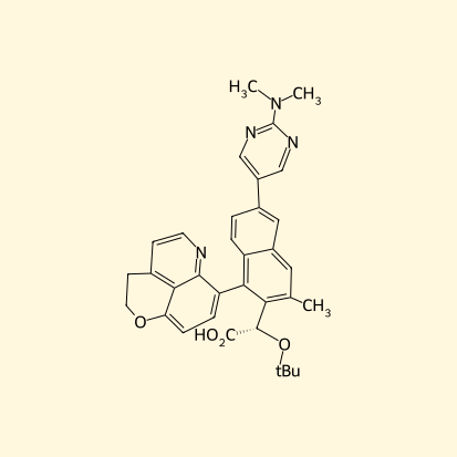 Cc1cc2cc(-c3cnc(N(C)C)nc3)ccc2c(-c2ccc3c4c(ccnc24)CCO3)c1[C@H](OC(C)(C)C)C(=O)O